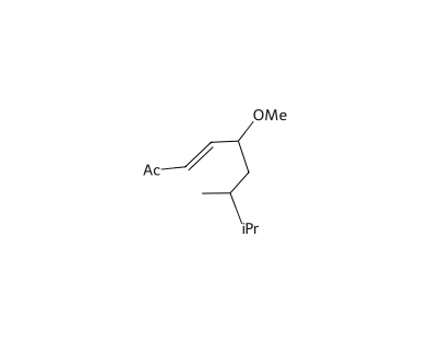 COC(C=CC(C)=O)CC(C)C(C)C